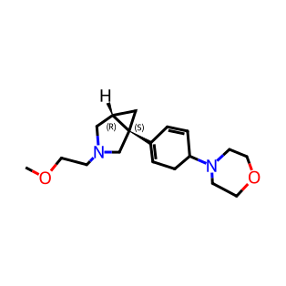 COCCN1C[C@@H]2C[C@]2(C2=CCC(N3CCOCC3)C=C2)C1